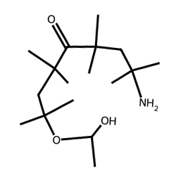 CC(O)OC(C)(C)CC(C)(C)C(=O)C(C)(C)CC(C)(C)N